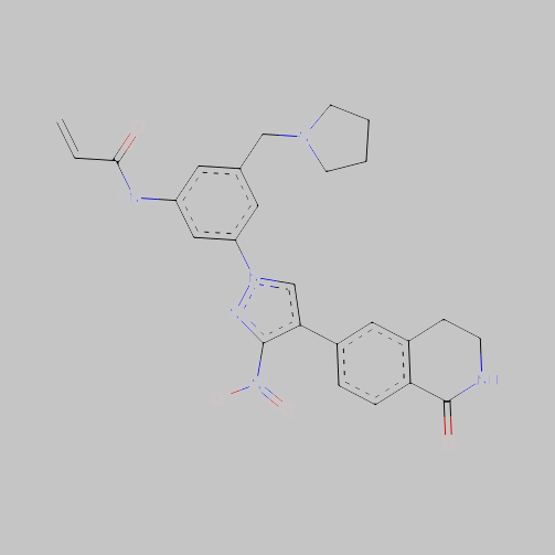 C=CC(=O)Nc1cc(CN2CCCC2)cc(-n2cc(-c3ccc4c(c3)CCNC4=O)c([N+](=O)[O-])n2)c1